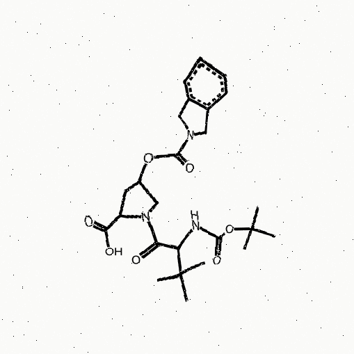 CC(C)(C)OC(=O)NC(C(=O)N1CC(OC(=O)N2Cc3ccccc3C2)CC1C(=O)O)C(C)(C)C